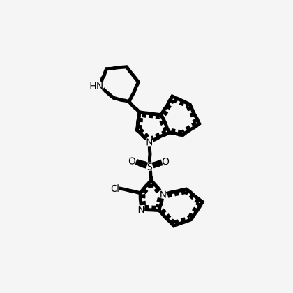 O=S(=O)(c1c(Cl)nc2ccccn12)n1cc(C2CCCNC2)c2ccccc21